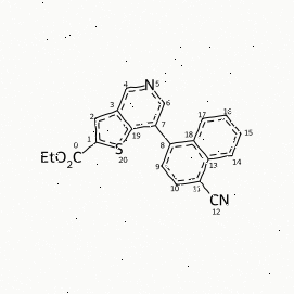 CCOC(=O)c1cc2cncc(-c3ccc(C#N)c4ccccc34)c2s1